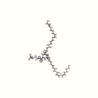 CCCCC/C=C\C/C=C\CCCCCCCCOc1cc(C(=O)OCCCN(C)C)cc(OCCCCCCCC/C=C\CCCCCCCC)n1